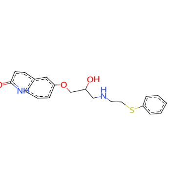 O=c1ccc2cc(OCC(O)CNCCSc3ccccc3)ccc2[nH]1